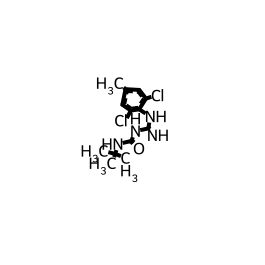 Cc1cc(Cl)c(NC(=N)NC(=O)NC(C)(C)C)c(Cl)c1